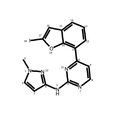 Cn1ccc(Nc2nccc(-c3cccc4cc(I)oc34)n2)n1